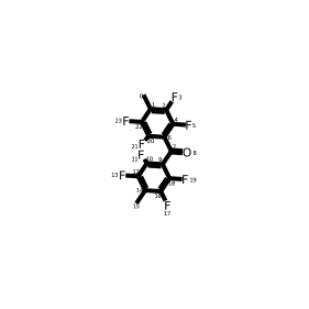 Cc1c(F)c(F)c(C(=O)c2c(F)c(F)c(C)c(F)c2F)c(F)c1F